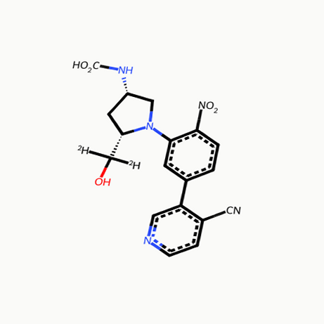 [2H]C([2H])(O)[C@@H]1C[C@H](NC(=O)O)CN1c1cc(-c2cnccc2C#N)ccc1[N+](=O)[O-]